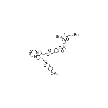 CC(=O)Oc1ccc(CC(=O)OCCC2CCN3CCSSCCN4CCC(CCOC(=O)Cc5ccc(OC(=O)C(C)(C)CC(C)(C)C(=O)OC(C(C)CC(C)(C)C)C(C)CC(C)(C)C)cc5)C2=C34)cc1